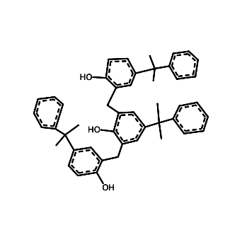 CC(C)(c1ccccc1)c1ccc(O)c(Cc2cc(C(C)(C)c3ccccc3)cc(Cc3cc(C(C)(C)c4ccccc4)ccc3O)c2O)c1